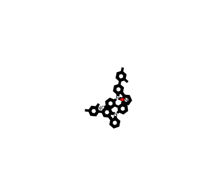 Cc1ccc(-c2ccc3c(c2)c2ccccc2n3-c2ccc(C#N)cc2-c2c(C#N)cccc2-n2c3ccccc3c3cc(-c4ccc(C)cc4C)ccc32)c(C)c1